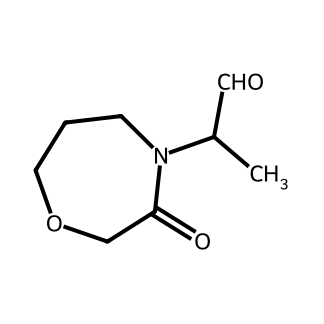 CC(C=O)N1CCCOCC1=O